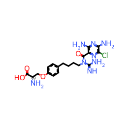 N=C(N)N(CCCCc1ccc(OC[C@H](N)C(=O)O)cc1)C(=O)c1nc(Cl)c(N)nc1N